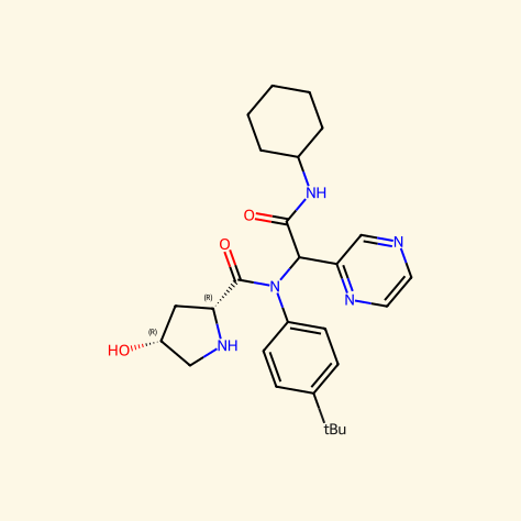 CC(C)(C)c1ccc(N(C(=O)[C@H]2C[C@@H](O)CN2)C(C(=O)NC2CCCCC2)c2cnccn2)cc1